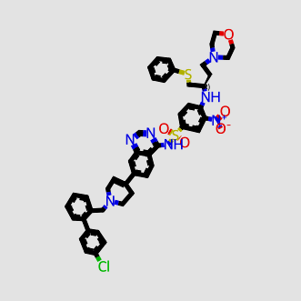 O=[N+]([O-])c1cc(S(=O)(=O)Nc2ncnc3cc(C4=CCN(Cc5ccccc5-c5ccc(Cl)cc5)CC4)ccc23)ccc1N[C@H](CCN1CCOCC1)CSc1ccccc1